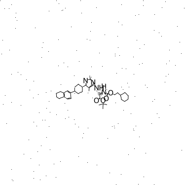 Cc1nc(NC[C@H](NC(=O)OCCC2CCCCC2)C(=O)OC(C)(C)C)c(C)c(C2CCC(c3ccc4c(c3)CCCC4)CC2)n1